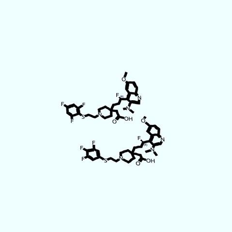 COc1ccc2ncc(N(C)C)c([C@H](F)CCC3(CC(=O)O)CCN(CCSc4c(F)cc(F)cc4F)CC3)c2c1.COc1ccc2ncc(N(C)C)c([C@H](F)CCC3(CC(=O)O)CCN(CCSc4cc(F)c(F)c(F)c4)CC3)c2c1